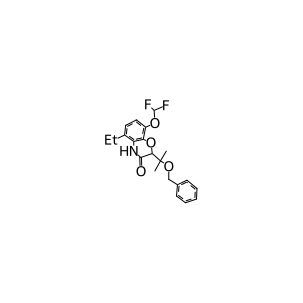 [CH2]Cc1ccc(OC(F)F)c2c1NC(=O)C(C(C)(C)OCc1ccccc1)O2